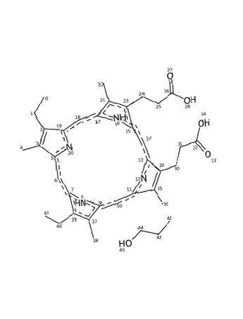 CCC1=C(C)c2cc3[nH]c(cc4nc(cc5[nH]c(cc1n2)c(C)c5CCC(=O)O)C(CCC(=O)O)=C4C)c(C)c3CC.CCCO